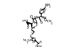 CO/N=C(\C(=O)NC1C(=O)N2C(C(=O)O)=C(/C=C/Sc3nc(C(=O)OC)nn3C)CSC12)c1csc(N)n1